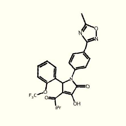 Cc1nc(-c2ccc(N3C(=O)C(O)=C(C(=O)C(C)C)C3c3ccccc3OC(F)(F)F)cc2)no1